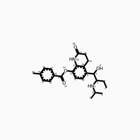 CCC(NC(C)C)C(O)c1ccc(OC(=O)c2ccc(C)cc2)c2c1CCC(=O)N2